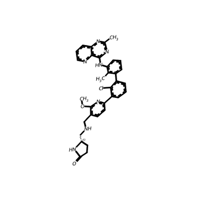 COc1nc(-c2cccc(-c3cccc(Nc4nc(C)nc5cccnc45)c3C)c2Cl)ccc1CNC[C@@H]1CCC(=O)N1